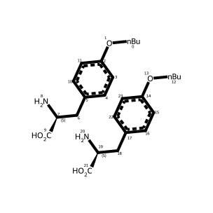 CCCCOc1ccc(C[C@H](N)C(=O)O)cc1.CCCCOc1ccc(C[C@H](N)C(=O)O)cc1